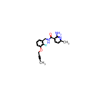 CC#CCOc1cccc(CNC(=O)c2ccc(C)nc2N)c1F